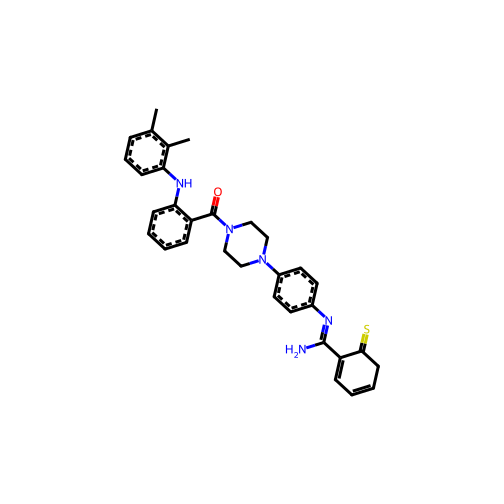 Cc1cccc(Nc2ccccc2C(=O)N2CCN(c3ccc(N=C(N)C4=CC=CCC4=S)cc3)CC2)c1C